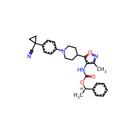 Cc1noc(C2CCN(c3ccc(C4(C#N)CC4)cc3)CC2)c1NC(=O)O[C@H](C)c1ccccc1